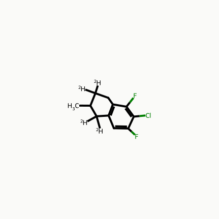 [2H]C1([2H])Cc2c(cc(F)c(Cl)c2F)C([2H])([2H])C1C